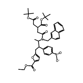 CCOC(=O)c1ccc(CC(c2ccc([N+](=O)[O-])cc2)C(C)N(Cc2ccc3ccccc3c2)C(=O)CC(CC(=O)OC(C)(C)C)C(=O)OC(C)(C)C)o1